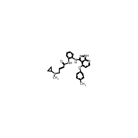 Cc1ccc(Oc2ccnc3[nH]nc(Nc4ccccc4NC(=O)/C=C/CN(C)C4CC4)c23)cc1